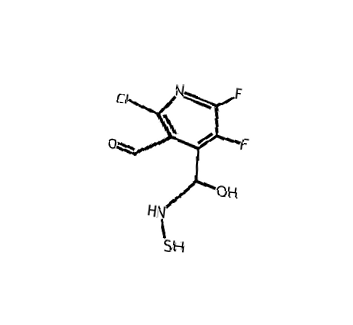 O=Cc1c(Cl)nc(F)c(F)c1C(O)NS